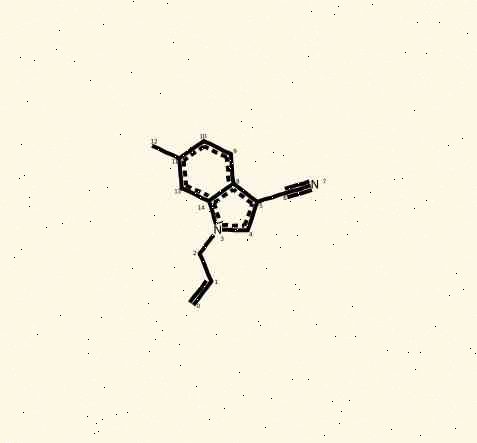 C=CCn1cc(C#N)c2ccc(C)cc21